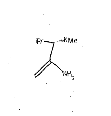 C=C(N)[C@@H](NC)C(C)C